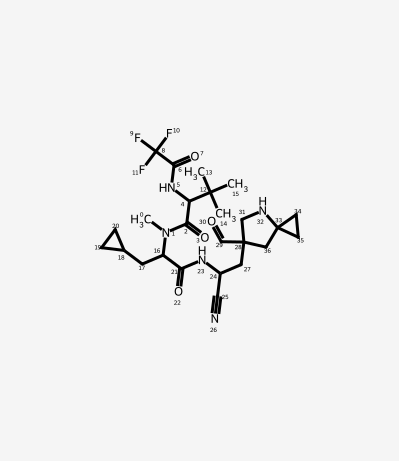 CN(C(=O)C(NC(=O)C(F)(F)F)C(C)(C)C)C(CC1CC1)C(=O)NC(C#N)CC1(C=O)CNC2(CC2)C1